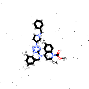 CC(C)OC(=O)N1c2ccc(C(F)(F)F)cc2[C@@H](N(Cc2cc(C(F)(F)F)cc(C(F)(F)F)c2)c2nnn([C@H]3CCN(Cc4ccccc4)C3)n2)C[C@H]1C